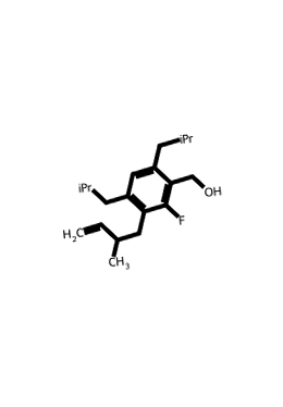 C=CC(C)Cc1c(CC(C)C)cc(CC(C)C)c(CO)c1F